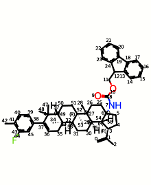 C=C(C)[C@@H]1CC[C@]2(NC(=O)OCC3c4ccccc4-c4ccccc43)CC[C@]3(C)[C@H](CC[C@@H]4[C@@]5(C)CC=C(c6ccc(C)c(F)c6)C(C)(C)[C@@H]5CC[C@]43C)[C@@H]12